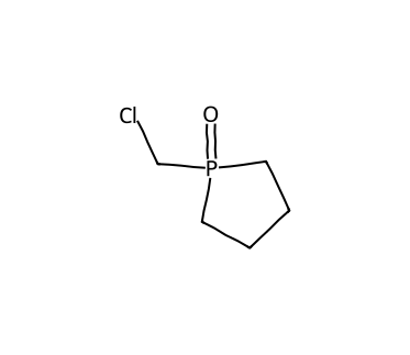 O=P1(CCl)CCCC1